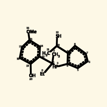 CCC(C)(Pc1ccccc1C(C)S)c1cc(OC)ccc1O